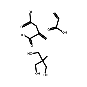 C=C(CC(=O)O)C(=O)O.C=CC(=O)O.CC(CO)(CO)CO